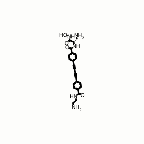 NCCNC(=O)c1ccc(C#CC#Cc2ccc(C(=O)N[C@@H](CN)C(=O)NO)cc2)cc1